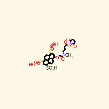 CN(CCCC(=O)ON1C(=O)CCC1=O)C(=O)COc1cc(SOOO)c2ccc3c(SOOO)cc(S(=O)(=O)O)c4ccc1c2c34